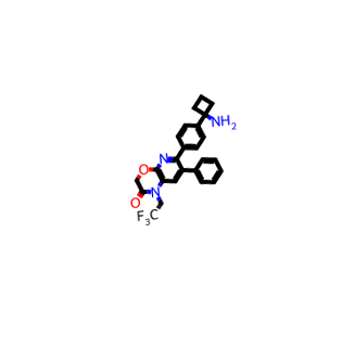 NC1(c2ccc(-c3nc4c(cc3-c3ccccc3)N(CC(F)(F)F)C(=O)CO4)cc2)CCC1